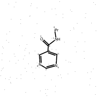 CC(C)NC(=O)c1cncnc1